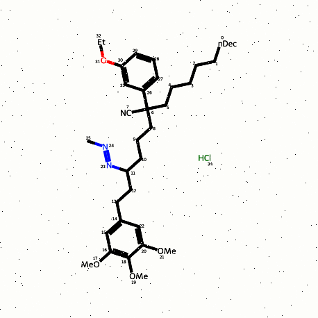 CCCCCCCCCCCCCCCC(C#N)(CCCC(CCc1cc(OC)c(OC)c(OC)c1)N=NC)c1cccc(OCC)c1.Cl